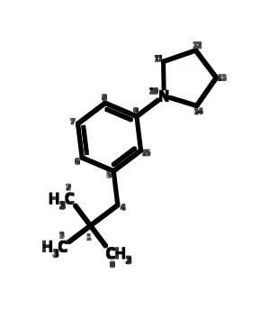 CC(C)(C)Cc1cccc(N2CCCC2)c1